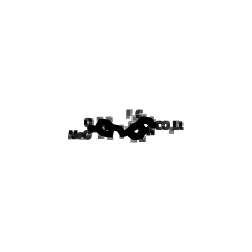 CCOC(=O)c1cc(C(F)(F)F)c2cc(CCC34CCC(C(=O)OC)(CC3)CC4)ccc2n1